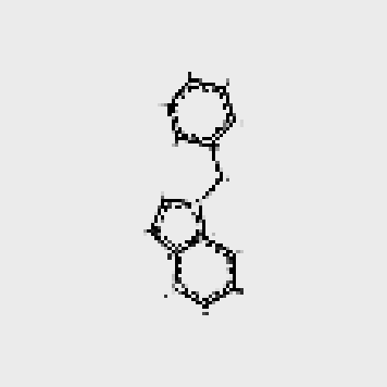 c1ccc(Cn2ccc3ncccc32)cc1